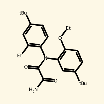 CCOc1ccc(C(C)(C)C)cc1N(C(=O)C(N)=O)c1ccc(C(C)(C)C)cc1CC